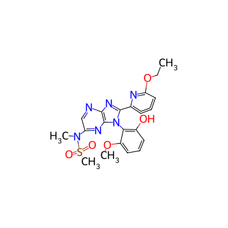 CCOC1=NC(c2nc3ncc(N(C)S(C)(=O)=O)nc3n2-c2c(O)cccc2OC)=C=C=C1